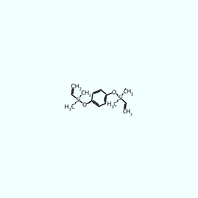 C=C[Si](C)(C)Oc1ccc(O[Si](C)(C)C=C)cc1